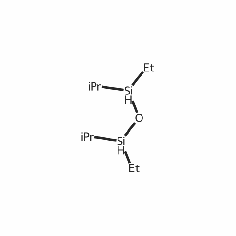 CC[SiH](O[SiH](CC)C(C)C)C(C)C